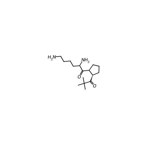 CC(C)(C)C(=O)[C@@H]1CCCC1C(=O)C(N)CCCCN